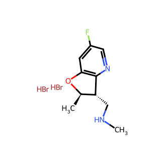 Br.Br.CNC[C@H]1c2ncc(F)cc2O[C@@H]1C